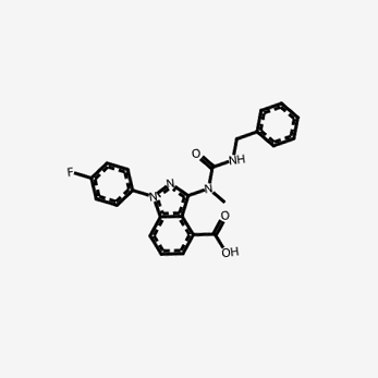 CN(C(=O)NCc1ccccc1)c1nn(-c2ccc(F)cc2)c2cccc(C(=O)O)c12